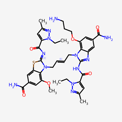 CCn1nc(C)cc1C(=O)/N=c1\sc2cc(C(N)=O)cc(OC)c2n1C/C=C/Cn1c(NC(=O)c2cc(C)nn2CC)nc2cc(C(N)=O)cc(OCCCN)c21